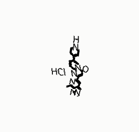 Cc1nc(-c2cc(=O)n3cc(C4=CCNCC4)ccc3n2)cc2cn(C)nc12.Cl